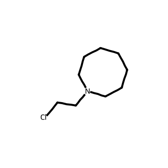 ClCCN1CCCCCCC1